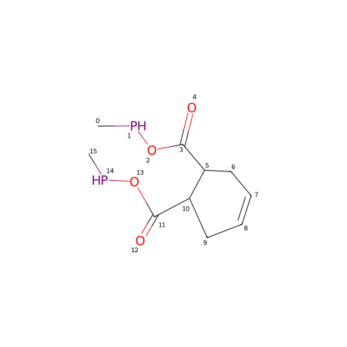 CPOC(=O)C1CC=CCC1C(=O)OPC